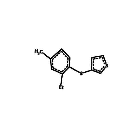 CCc1cc(C)ccc1Sc1ccsc1